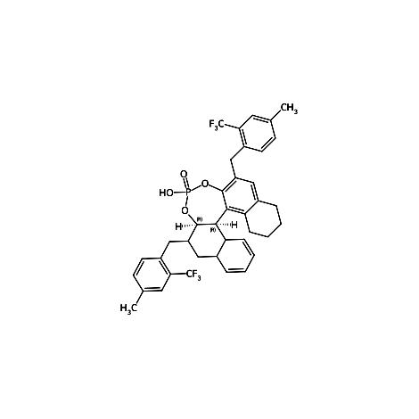 Cc1ccc(Cc2cc3c(c4c2OP(=O)(O)O[C@@H]2C(Cc5ccc(C)cc5C(F)(F)F)CC5C=CC=CC5[C@H]42)CCCC3)c(C(F)(F)F)c1